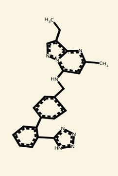 CCc1cnn2c(NCc3ccc(-c4ccccc4-c4nnn[nH]4)cc3)cc(C)nc12